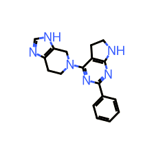 c1ccc(-c2nc3c(c(N4CCc5nc[nH]c5C4)n2)CCN3)cc1